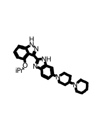 CC(C)Oc1cccc2[nH]nc(-c3nc4ccc(N5CCC(N6CCCCC6)CC5)cc4[nH]3)c12